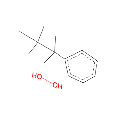 CC(C)(C)C(C)(C)c1ccccc1.OO